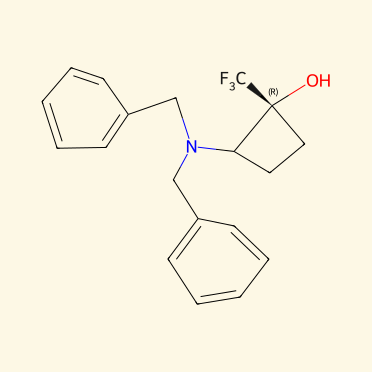 O[C@]1(C(F)(F)F)CCC1N(Cc1ccccc1)Cc1ccccc1